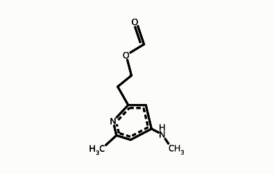 CNc1cc(C)nc(CCOC=O)c1